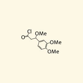 COc1ccc(C(CC(=O)Cl)OC)cc1OC